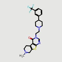 CN1CCc2c(sc3ncn(CCN4CCC(c5cccc(C(F)(F)F)c5)CC4)c(=O)c23)C1